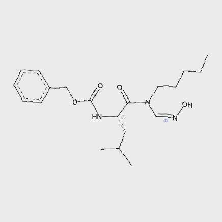 CCCCCN(/C=N\O)C(=O)[C@H](CC(C)C)NC(=O)OCc1ccccc1